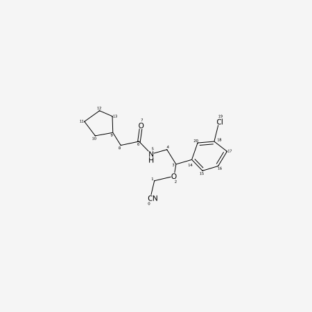 N#CCOC(CNC(=O)CC1CCCC1)c1cccc(Cl)c1